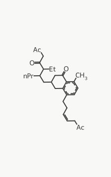 CCCC(CC1CC(=O)c2c(C)ccc(CC/C=C\CC(C)=O)c2C1)C(CC)C(=O)CC(C)=O